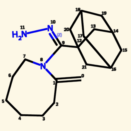 C=C1CCCCCCN1/C(=N\N)C12CC3CC(CC(C3)C1)C2